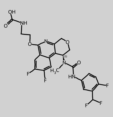 CN(C(=O)Nc1ccc(F)c(C(F)F)c1)[C@@H]1COCc2nc(OCCNC(=O)O)c3cc(F)c(F)cc3c21